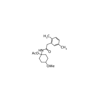 COC1CCC(NC(=O)Cc2cc(C)ccc2C)(OC(C)=O)CC1